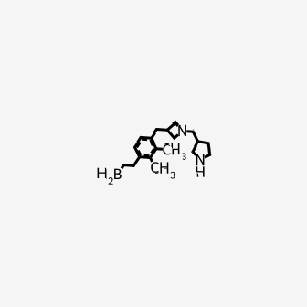 BCCc1ccc(CC2CN(CC3CCNC3)C2)c(C)c1C